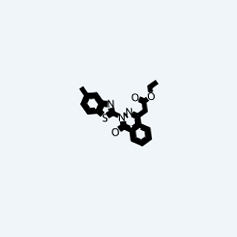 CCOC(=O)Cc1nn(-c2nc3cc(C)ccc3s2)c(=O)c2ccccc12